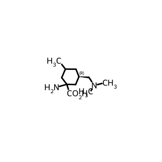 CC1C[C@@H](CN(C)C)CC(N)(C(=O)O)C1